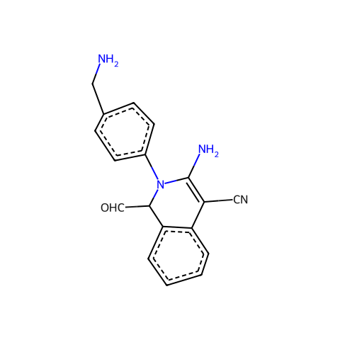 N#CC1=C(N)N(c2ccc(CN)cc2)C(C=O)c2ccccc21